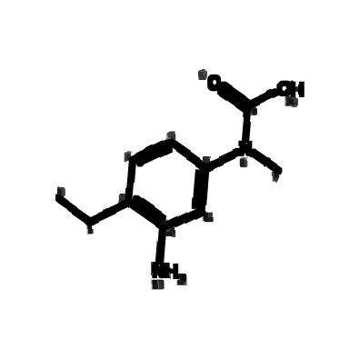 CCc1ccc(N(C)C(=O)O)cc1N